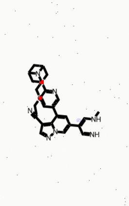 CCOCCN1C2CC1CN(c1ccc(-c3cc(/C(C=N)=C/NC)cn4ncc(C#N)c34)cn1)C2